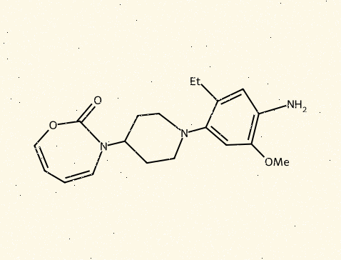 CCc1cc(N)c(OC)cc1N1CCC(N2C=CC=COC2=O)CC1